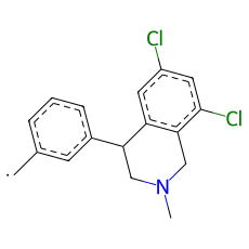 [CH2]c1cccc(C2CN(C)Cc3c(Cl)cc(Cl)cc32)c1